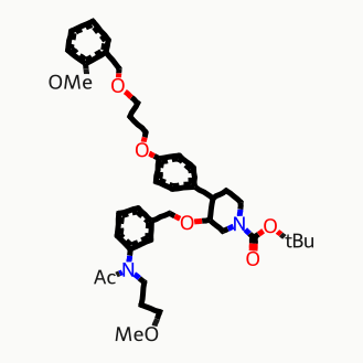 COCCCN(C(C)=O)c1cccc(COC2CN(C(=O)OC(C)(C)C)CCC2c2ccc(OCCCOCc3ccccc3OC)cc2)c1